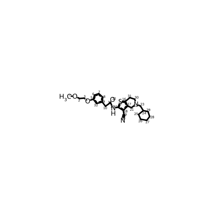 COCCOc1cccc(CC(=O)Nc2sc3c(c2C#N)CN(CC2CCCCC2)CC3)c1